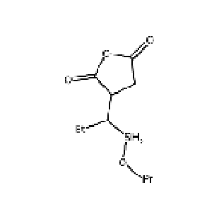 CCC([SiH2]OC(C)C)C1CC(=O)OC1=O